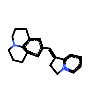 C(=C1CC[n+]2ccccc21)c1cc2c3c(c1)CCCN3CCC2